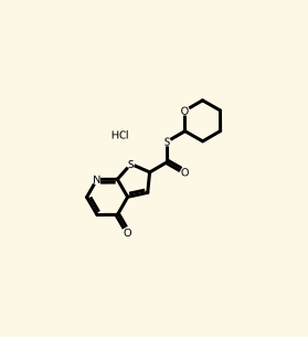 Cl.O=C1C=CN=C2SC(C(=O)SC3CCCCO3)C=C12